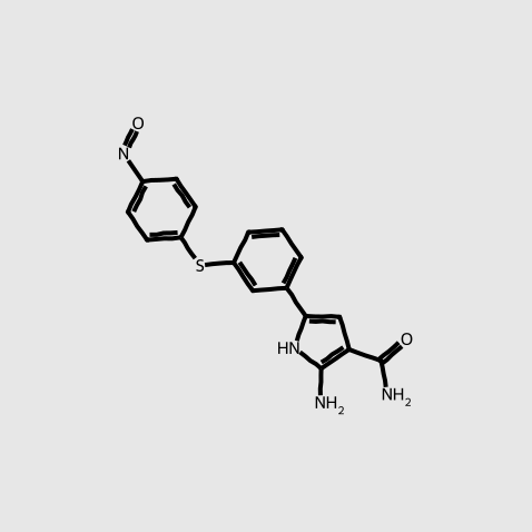 NC(=O)c1cc(-c2cccc(Sc3ccc(N=O)cc3)c2)[nH]c1N